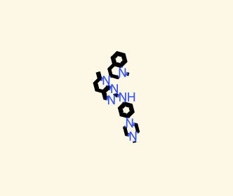 C=C1C=Cc2cnc(Nc3ccc(N4CCN(C)CC4)cc3)nc2N1C1Cc2ccccc2N(C)C1